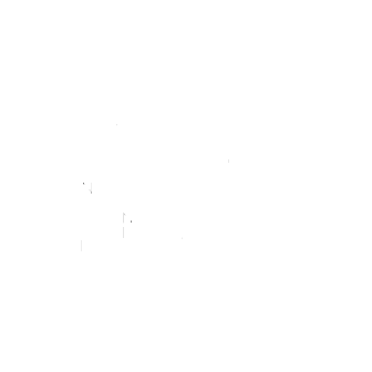 O=C(c1ccccc1Cl)c1cccc2c1NC(Cl)=NS2(=O)=O